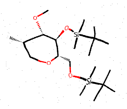 CO[C@@H]1[C@@H](O[Si](C)(C)C(C)(C)C)[C@H](CO[Si](C)(C)C(C)(C)C)OC[C@@H]1C